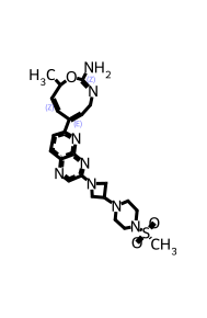 CC1/C=C\C(c2ccc3ncc(N4CC(N5CCN(S(C)(=O)=O)CC5)C4)nc3n2)=C/C/N=C(/N)O1